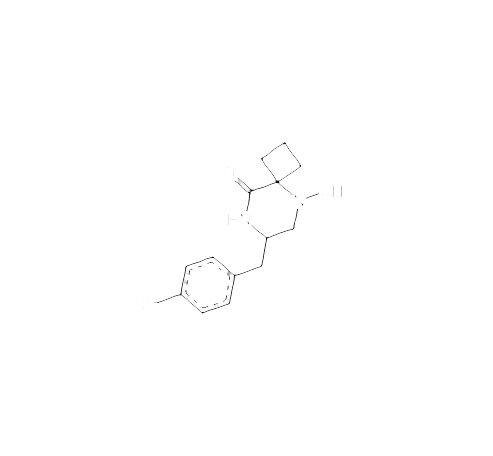 CN1CC(Cc2ccc(Cl)cc2)NC(=O)C12CCC2